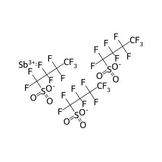 O=S(=O)([O-])C(F)(F)C(F)(F)C(F)(F)C(F)(F)F.O=S(=O)([O-])C(F)(F)C(F)(F)C(F)(F)C(F)(F)F.O=S(=O)([O-])C(F)(F)C(F)(F)C(F)(F)C(F)(F)F.[Sb+3]